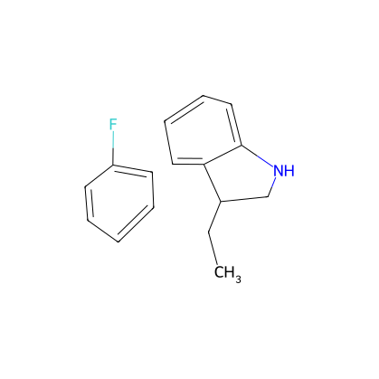 CCC1CNc2ccccc21.Fc1ccccc1